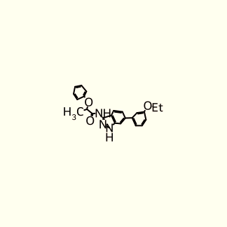 CCOc1cccc(-c2ccc3c(NC(=O)C(C)Oc4ccccc4)n[nH]c3c2)c1